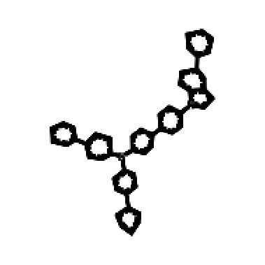 c1ccc(-c2ccc(N(c3ccc(-c4ccccc4)cc3)c3ccc(-c4ccc(-n5ccc6cc(-c7ccccc7)ccc65)cc4)cc3)cc2)cc1